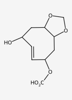 O=C(O)OC1/C=C/C(O)CC2OCOC2C1